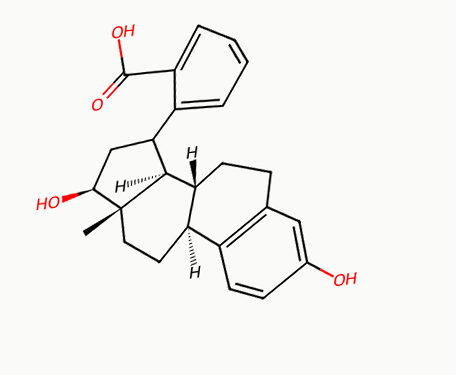 C[C@]12CC[C@@H]3c4ccc(O)cc4CC[C@H]3[C@@H]1C(c1ccccc1C(=O)O)C[C@@H]2O